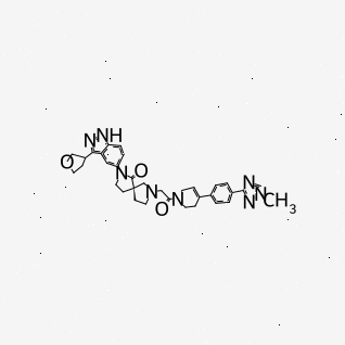 Cn1cnc(-c2ccc(C3=CCN(C(=O)CN4CC[C@]5(CCN(c6ccc7[nH]nc(C8CCOC8)c7c6)C5=O)C4)CC3)cc2)n1